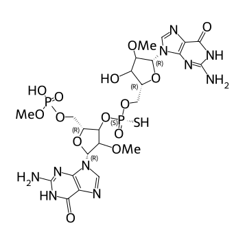 COC1C(O)[C@@H](CO[P@](=O)(S)OC2C(OC)[C@H](n3cnc4c(=O)[nH]c(N)nc43)O[C@@H]2COP(=O)(O)OC)O[C@H]1n1cnc2c(=O)[nH]c(N)nc21